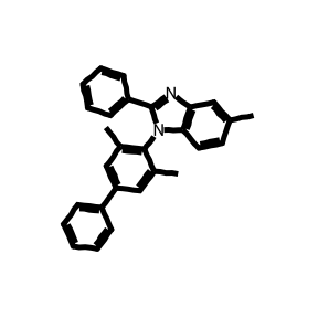 Cc1ccc2c(c1)nc(-c1ccccc1)n2-c1c(C)cc(-c2ccccc2)cc1C